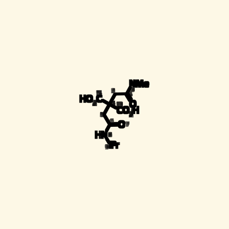 CNC(=O)CC(CC(=O)NC(C)C)(C(=O)O)C(=O)O